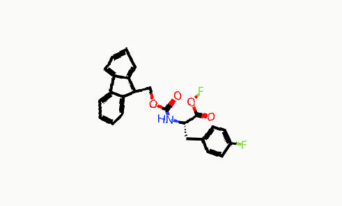 O=C(N[C@@H](Cc1ccc(F)cc1)C(=O)OF)OCC1c2ccccc2-c2ccccc21